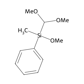 COC(OC)[Si](C)(OC)c1ccccc1